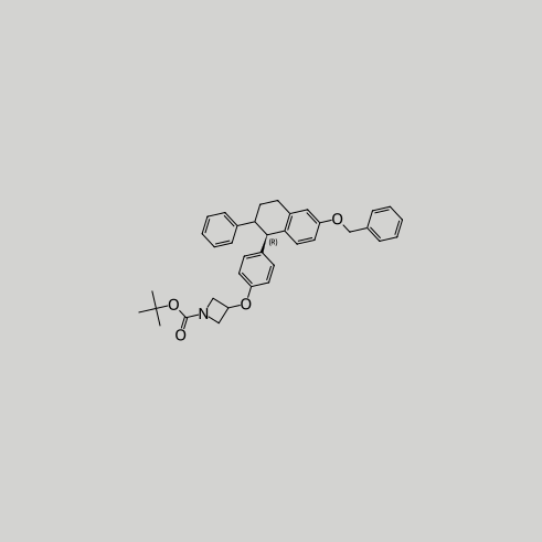 CC(C)(C)OC(=O)N1CC(Oc2ccc([C@@H]3c4ccc(OCc5ccccc5)cc4CCC3c3ccccc3)cc2)C1